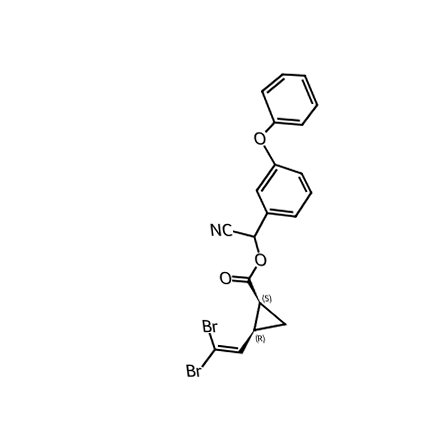 N#CC(OC(=O)[C@H]1C[C@H]1C=C(Br)Br)c1cccc(Oc2ccccc2)c1